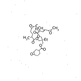 CCC(COC(=O)C(C)CCC1OC1C)(COC(=O)C(C)CCC1OC1C)COC(=O)C1CCC2OC2C1